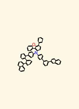 c1ccc(-c2ccc(N(c3ccc(-c4cccc(-c5ccc6ccccc6c5)c4)cc3)c3ccc(-c4ccccc4-c4ccccc4-c4cccc5ccccc45)cc3)c3c2oc2ccccc23)cc1